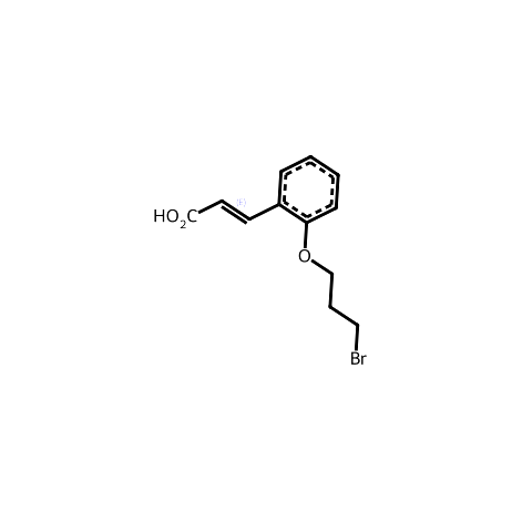 O=C(O)/C=C/c1ccccc1OCCCBr